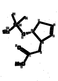 COC(=O)C[C@@H]1C=CC[C@H]1O[Si](C)(C)C(C)(C)C